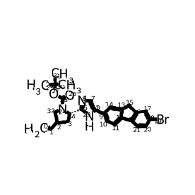 C=CC1C[C@@H](c2ncc(-c3ccc4c(c3)Cc3cc(Br)ccc3-4)[nH]2)N(C(=O)OC(C)(C)C)C1